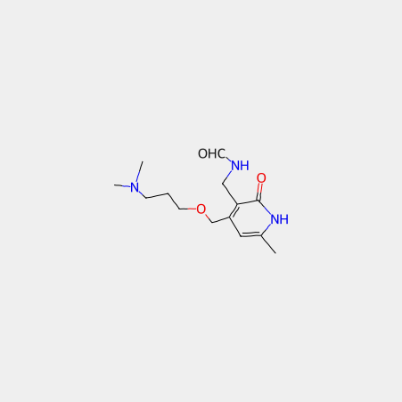 Cc1cc(COCCCN(C)C)c(CNC=O)c(=O)[nH]1